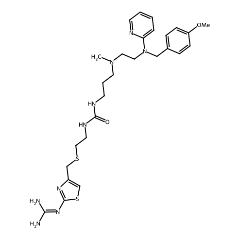 COc1ccc(CN(CCN(C)CCCNC(=O)NCCSCc2csc(N=C(N)N)n2)c2ccccn2)cc1